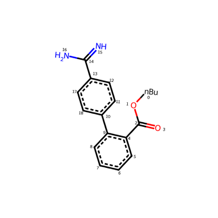 CCCCOC(=O)c1ccccc1-c1ccc(C(=N)N)cc1